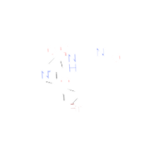 COc1cc2nccc(Oc3ccc(Br)cc3)c2cc1C(=O)NCCCN1CCOCC1